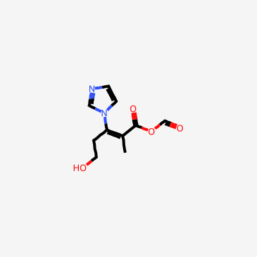 CC(C(=O)OC=O)=C(CCO)n1ccnc1